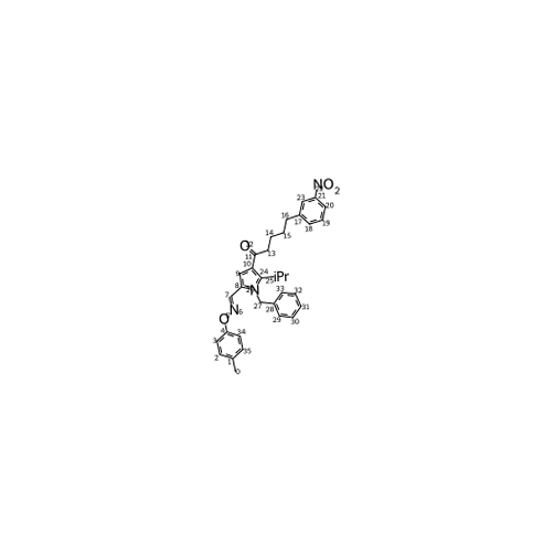 Cc1ccc(O/N=C/c2cc(C(=O)CCCCc3cccc([N+](=O)[O-])c3)c(C(C)C)n2Cc2ccccc2)cc1